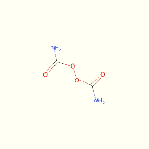 NC(=O)OOC(N)=O